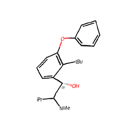 CNC(C(C)C)[C@@H](O)c1cccc(Oc2ccccc2)c1C(C)(C)C